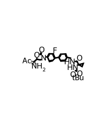 CC(=O)[C@@H](N)C1CN(c2ccc(-c3ccc(CNC(=O)C4(NC(=O)OC(C)(C)C)CC4)cc3)c(F)c2)C(=O)O1